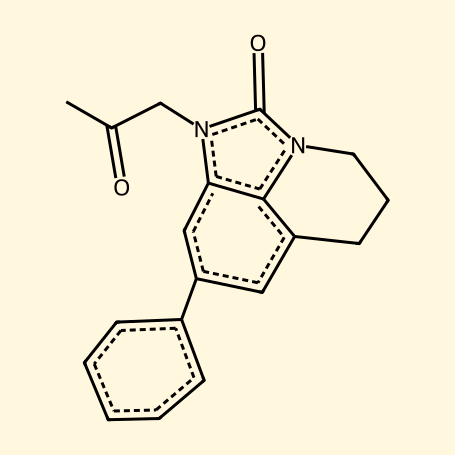 CC(=O)Cn1c(=O)n2c3c(cc(-c4ccccc4)cc31)CCC2